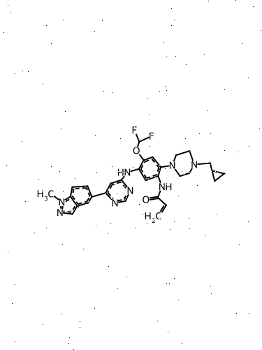 C=CC(=O)Nc1cc(Nc2cc(-c3ccc4c(cnn4C)c3)ncn2)c(OC(F)F)cc1N1CCN(CC2CC2)CC1